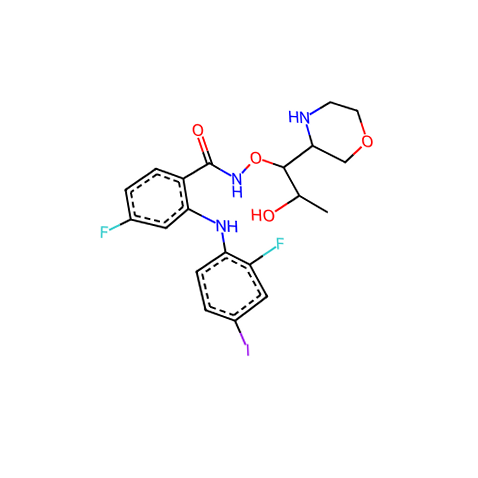 CC(O)C(ONC(=O)c1ccc(F)cc1Nc1ccc(I)cc1F)C1COCCN1